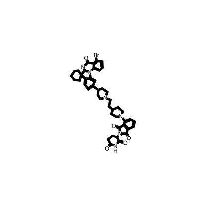 O=C1CCC(N2C(=O)c3cccc(N4CCC(CCN5CCC(c6ccc7c(c6)-n6c(nc(=O)c8c(Br)cccc86)C76CCCCC6)CC5)CC4)c3C2=O)C(=O)N1